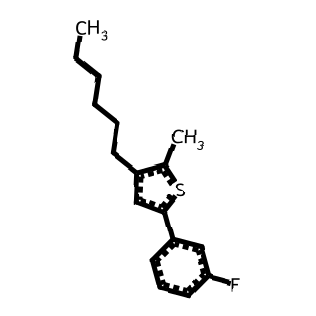 CCCCCCc1cc(-c2cccc(F)c2)sc1C